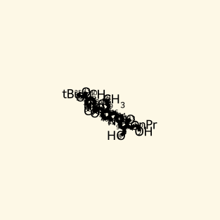 CCCC(O)OCc1c(CO)cc2n(c1=O)Cc1cc3c(CN(C)C)c(OC(=O)N4C[C@@H](C)C(C(=O)OC(C)(C)C)C[C@@H]4C)ccc3nc1-2